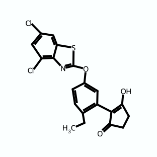 CCc1ccc(Oc2nc3c(Cl)cc(Cl)cc3s2)cc1C1=C(O)CCC1=O